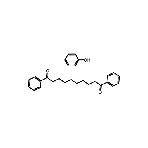 O=C(CCCCCCCCC(=O)c1ccccc1)c1ccccc1.Oc1ccccc1